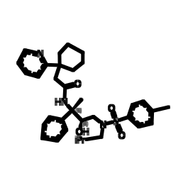 Cc1ccc(S(=O)(=O)N(CC(C)C)C[C@@H](O)[C@@](C)(NC(=O)CC2(c3ccccn3)CCCCC2)c2ccccc2)cc1